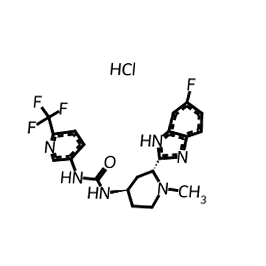 CN1CC[C@@H](NC(=O)Nc2ccc(C(F)(F)F)nc2)C[C@@H]1c1nc2ccc(F)cc2[nH]1.Cl